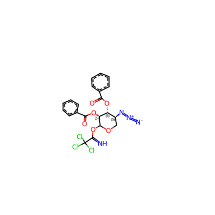 [N-]=[N+]=N[C@H]1COC(OC(=N)C(Cl)(Cl)Cl)[C@@H](OC(=O)c2ccccc2)[C@@H]1OC(=O)c1ccccc1